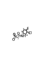 O=C(C[N+](=O)[O-])Nc1ccc(F)c(Cl)c1